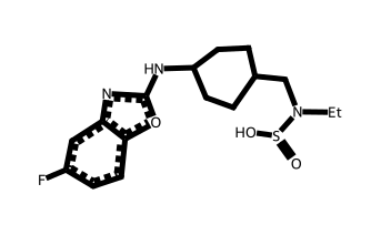 CCN(CC1CCC(Nc2nc3cc(F)ccc3o2)CC1)S(=O)O